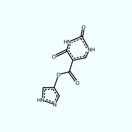 O=C(Oc1cn[nH]c1)c1c[nH]c(=O)[nH]c1=O